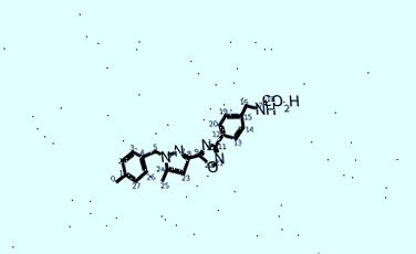 Cc1ccc(Cn2nc(-c3nc(-c4ccc(CNC(=O)O)cc4)no3)cc2C)cc1